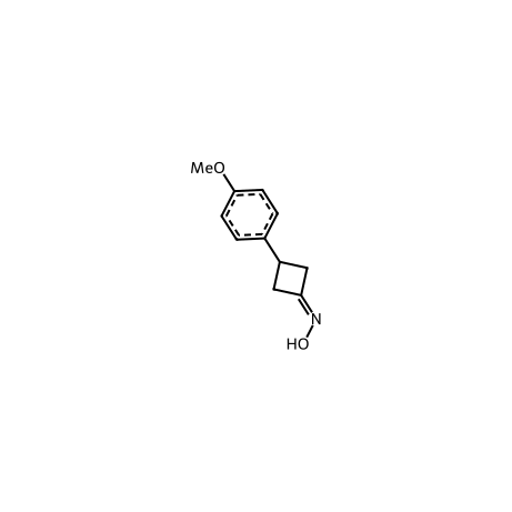 COc1ccc(C2CC(=NO)C2)cc1